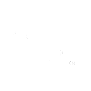 N#Cc1ccc(C#Cc2ccncc2)cn1